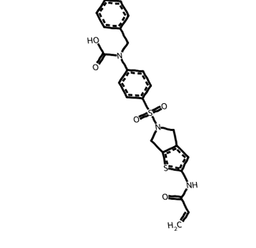 C=CC(=O)Nc1cc2c(s1)CN(S(=O)(=O)c1ccc(N(Cc3ccccc3)C(=O)O)cc1)C2